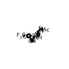 CC(=O)c1csc(Cn2ccc(NC(=O)c3ncoc3-c3cccc(OC(F)(F)F)c3)n2)n1